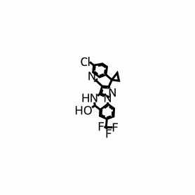 N#Cc1c(C2(c3ccc(Cl)cc3)CC2)nn2c1NC(O)c1cc(C(F)(F)F)ccc1-2